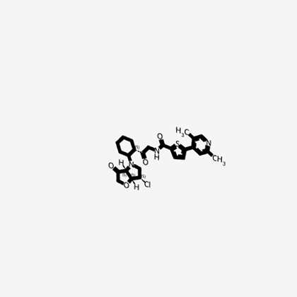 Cc1cc(-c2ccc(C(=O)NCC(=O)[C@H]3CCCCC3N3C[C@H](Cl)[C@H]4OCC(=O)[C@H]43)s2)c(C)cn1